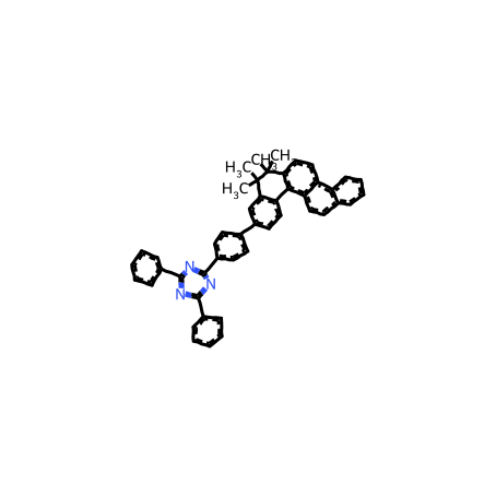 CC1(C)c2cc(-c3ccc(-c4nc(-c5ccccc5)nc(-c5ccccc5)n4)cc3)ccc2-c2c(ccc3c2ccc2ccccc23)C1(C)C